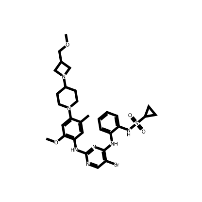 COCC1CN(C2CCN(c3cc(OC)c(Nc4ncc(Br)c(Nc5ccccc5NS(=O)(=O)C5CC5)n4)cc3C)CC2)C1